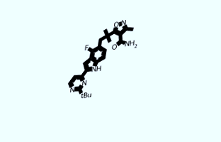 Cc1noc(C(C)(C)Cc2ccc3[nH]c(-c4ccnc(C(C)(C)C)n4)cc3c2F)c1C(N)=O